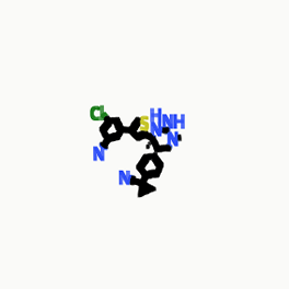 CN1C[C@H](c2ccc(C3(C#N)CC3)cc2)[C@@](C)(c2cc(-c3cc(Cl)cc(C#N)c3)cs2)NC1=N